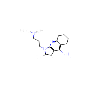 CC1Cc2c(nc3c(c2N)CCCC3)N1CCCN(C)C